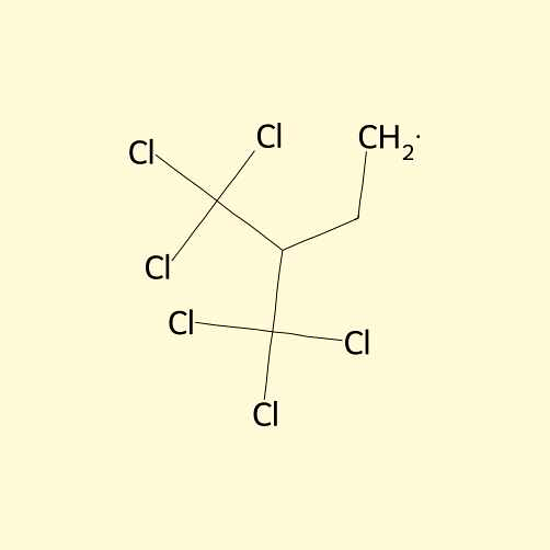 [CH2]CC(C(Cl)(Cl)Cl)C(Cl)(Cl)Cl